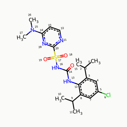 CC(C)c1cc(Cl)cc(C(C)C)c1NC(=O)NS(=O)(=O)c1nccc(N(C)C)n1